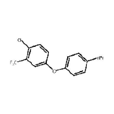 CCCc1ccc(Oc2ccc(Cl)c(C(F)(F)F)c2)cc1